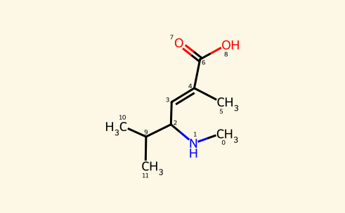 CNC(C=C(C)C(=O)O)C(C)C